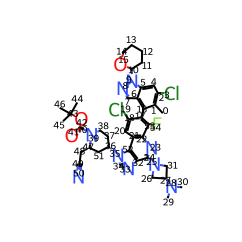 Cc1c(Cl)cc2c(cnn2C2CCCCO2)c1-c1c(Cl)cc2c(nc(N3CC(N(C)C)C3)c3ncn([C@H]4CCN(C(=O)OC(C)(C)C)[C@H](CC#N)C4)c32)c1F